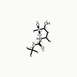 CC(CC(O)S(C)(=O)=O)NC(=O)OC(C)(C)C